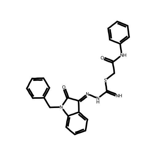 N=C(N/N=C1/C(=O)N(Cc2ccccc2)c2ccccc21)SCC(=O)Nc1ccccc1